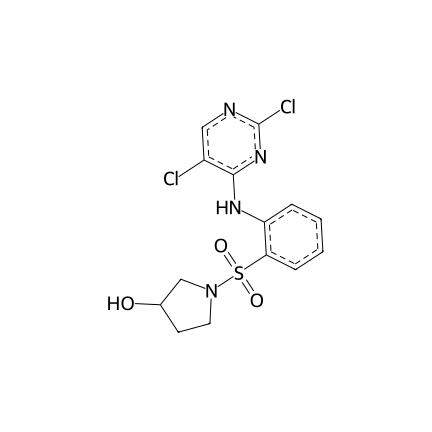 O=S(=O)(c1ccccc1Nc1nc(Cl)ncc1Cl)N1CCC(O)C1